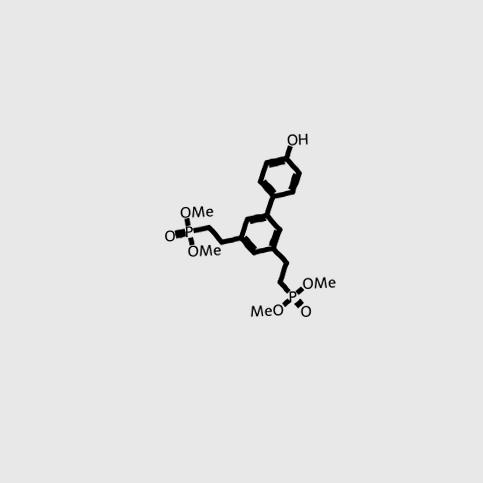 COP(=O)(CCc1cc(CCP(=O)(OC)OC)cc(-c2ccc(O)cc2)c1)OC